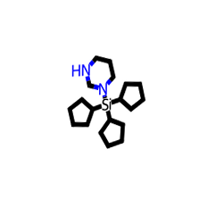 C1CCC([Si](C2CCCC2)(C2CCCC2)N2CCCNC2)C1